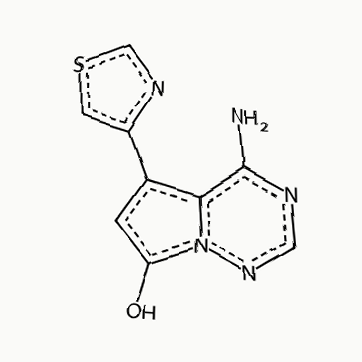 Nc1ncnn2c(O)cc(-c3cscn3)c12